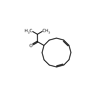 CC(C)C(=O)C1CCC=CCCC=CCCC1